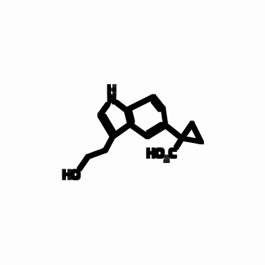 O=C(O)C1(c2ccc3[nH]cc(CCO)c3c2)CC1